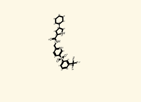 O=C(NCc1ccc(S(=O)(=O)c2cccc(C(F)(F)F)c2)cn1)C1C[C@@H](C2CCCCC2)CN1